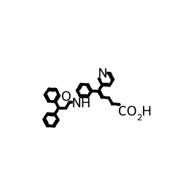 O=C(O)CCC/C=C(\c1cccnc1)c1cccc(NC(=O)CC(c2ccccc2)c2ccccc2)c1